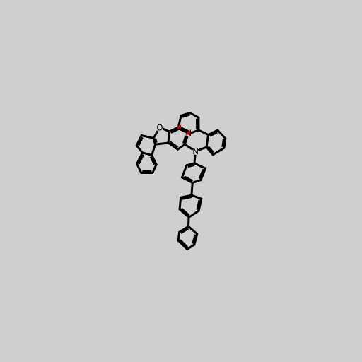 c1ccc(-c2ccc(-c3ccc(N(c4cc5c(cn4)oc4ccc6ccccc6c45)c4ccccc4-c4ccccc4)cc3)cc2)cc1